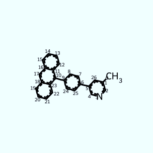 Cc1cncc(-c2ccc(-c3c4ccccc4cc4ccccc34)cc2)c1